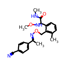 CNC(=O)C(NOC)c1cccc(C)c1CO/N=C(\C)c1ccc(C#N)cc1